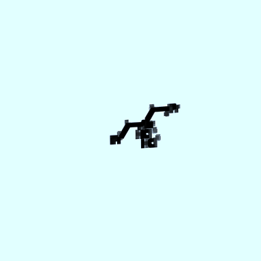 CC(C)[CH2][Sn][CH2]C(C)C.Cl.Cl